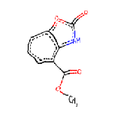 COC(=O)c1cccc2oc(=O)[nH]c12